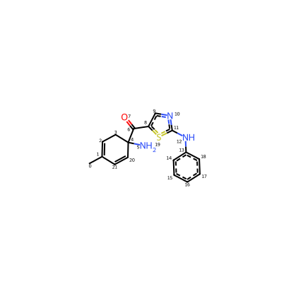 CC1=CCC(N)(C(=O)c2cnc(Nc3ccccc3)s2)C=C1